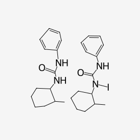 CC1CCCCC1N(I)C(=O)Nc1ccccc1.CC1CCCCC1NC(=O)Nc1ccccc1